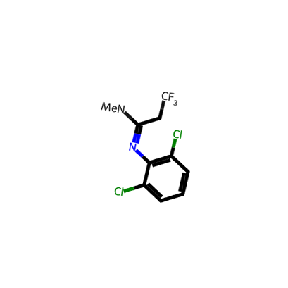 CNC(CC(F)(F)F)=Nc1c(Cl)cccc1Cl